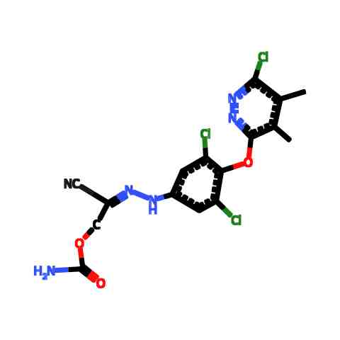 Cc1c(Cl)nnc(Oc2c(Cl)cc(NN=C(C#N)COC(N)=O)cc2Cl)c1C